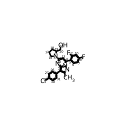 Cc1nn2c(-c3ccc(F)cc3F)cc(N3CCCC3CO)nc2c1-c1ccc(Cl)cc1